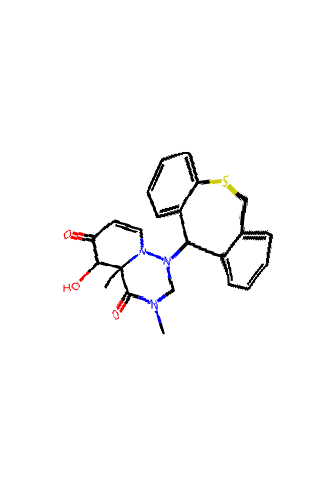 CN1CN(C2c3ccccc3CSc3ccccc32)N2C=CC(=O)C(O)C2(C)C1=O